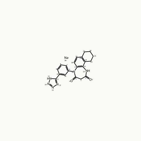 O=C1CC(=O)N(c2cccc(-c3nnn[nH]3)c2)c2ccc3c(c2N1)CCCC3.[Na]